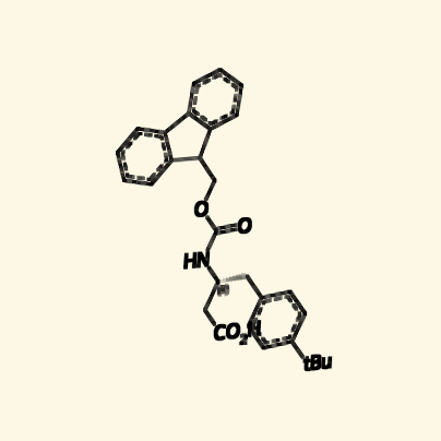 CC(C)(C)c1ccc(C[C@H](CC(=O)O)NC(=O)OCC2c3ccccc3-c3ccccc32)cc1